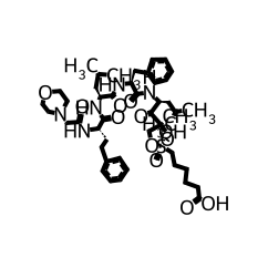 CC(C)C[C@H](NC(=O)[C@H](CCc1ccccc1)NC(=O)CN1CCOCC1)C(=O)N[C@@H](Cc1ccccc1)C(=O)N[C@@H](CC(C)C)C(=O)[C@](C)(O)COS(=O)(=O)CCCCCC(=O)O